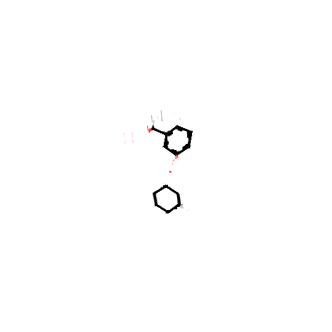 CCC[C@@H](O)c1cccc(OC[C@H]2CCC[C@@H](O)C2)c1